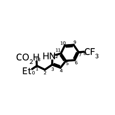 CCC(Cc1cc2cc(C(F)(F)F)ccc2[nH]1)C(=O)O